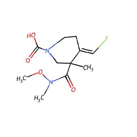 CON(C)C(=O)C1(C)CN(C(=O)O)CCC1=CF